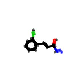 NC(=O)C=Cc1ccccc1Cl